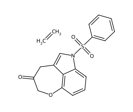 C=C.O=C1COc2cccc3c2c(cn3S(=O)(=O)c2ccccc2)C1